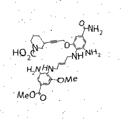 COC(=O)c1cc(N)c(NCC=CCNc2c(N)cc(C(N)=O)cc2OCC#CC2CCCN(C(=O)O)C2)c(OC)c1